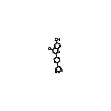 O=c1cc(-c2ccc(-c3cncnc3)cc2)oc2ccc(O)cc12